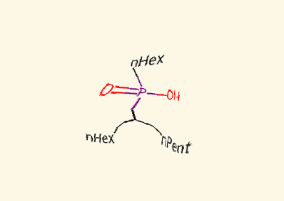 CCCCCCC(CCCCC)P(=O)(O)CCCCCC